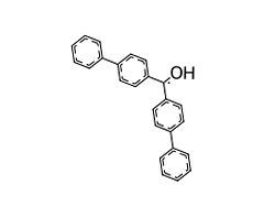 O[C](c1ccc(-c2ccccc2)cc1)c1ccc(-c2ccccc2)cc1